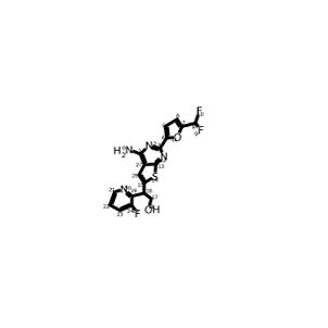 Nc1nc(-c2ccc(C(F)F)o2)nc2sc(C(CO)c3ncccc3F)cc12